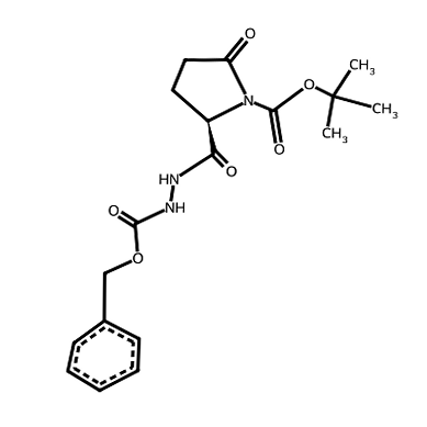 CC(C)(C)OC(=O)N1C(=O)CC[C@@H]1C(=O)NNC(=O)OCc1ccccc1